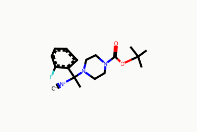 [C-]#[N+]C(C)(c1ccccc1F)N1CCN(C(=O)OC(C)(C)C)CC1